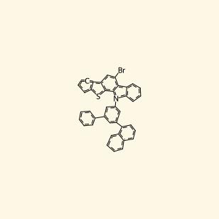 Brc1cc2c3ccccc3sc2c2c1c1ccccc1n2-c1cc(-c2ccccc2)cc(-c2cccc3ccccc23)c1